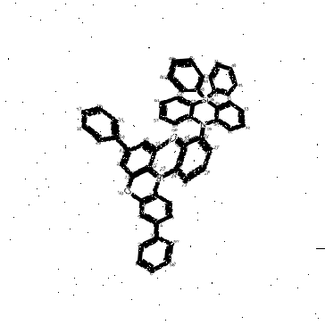 c1ccc(-c2ccc3c(c2)Oc2cc(-c4ccccc4)cc4c2B3c2cccc(N3c5ccccc5[Si](c5ccccc5)(c5ccccc5)c5ccccc53)c2O4)cc1